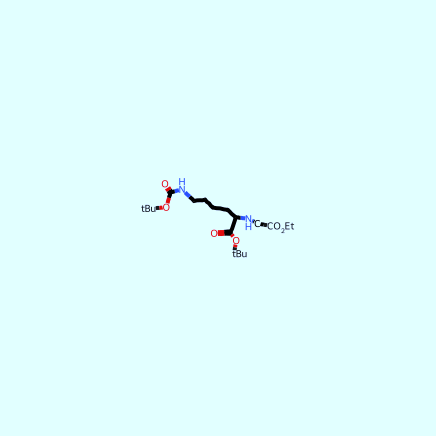 CCOC(=O)CNC(CCCCNC(=O)OC(C)(C)C)C(=O)OC(C)(C)C